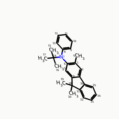 Cc1cc2c(cc1N(c1ccccc1)C(C)(C)C)C(C)(C)c1ccccc1-2